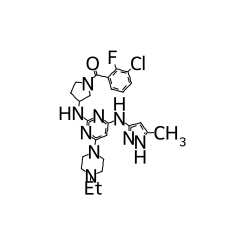 CCN1CCN(c2cc(Nc3cc(C)[nH]n3)nc(NC3CCN(C(=O)c4cccc(Cl)c4F)C3)n2)CC1